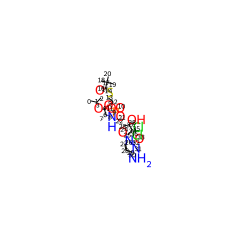 CC(C)OC(=O)[C@@H](C)NP(=O)(OCCSC(=O)C(C)(C)C)OC[C@H]1O[C@@H](n2ccc(N)nc2=O)C(Cl)(Cl)[C@@H]1O